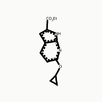 CCOC(=O)c1cc2ccc(OC3CC3)nc2[nH]1